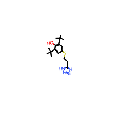 CC(C)(C)c1cc(SCCc2nnn[nH]2)cc(C(C)(C)C)c1O